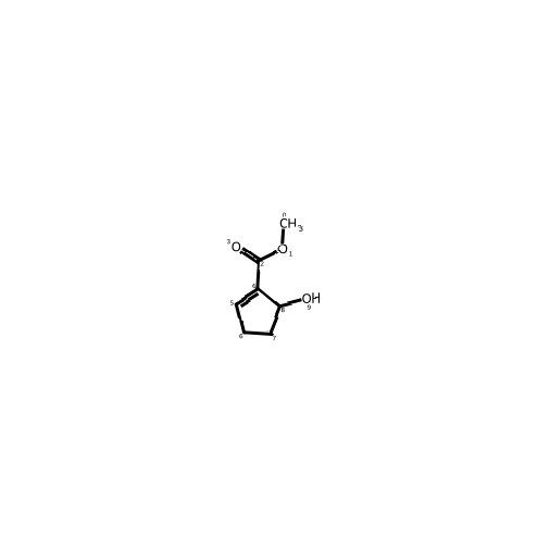 COC(=O)C1=CCCC1O